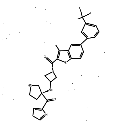 Cc1c(C(=O)N2CC(N[C@@]3(C(=O)c4cscn4)CCNC3)C2)sc2ccc(-c3cccc(C(F)(F)F)c3)cc12